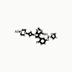 CC(=O)N1CCN(C2CC(n3cc(-c4cc(OC[C@H]5CCCO5)ccc4F)c4c(N)ncnc43)C2)CC1